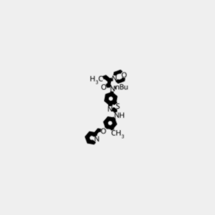 C/C=C(\C(=O)N(CCCC)c1ccc2nc(Nc3ccc(OCc4ccccn4)c(C)c3)sc2c1)N1CCOCC1